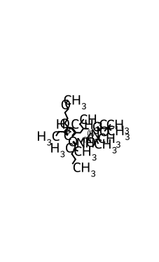 CCCCC(C)(C)C(=O)NC[C@@H]1OC(C)(C)N(C(=O)OC(C)(C)C)[C@H]1CC(Cc1ccc(CC)c(OCCCOC)c1)C(C)C